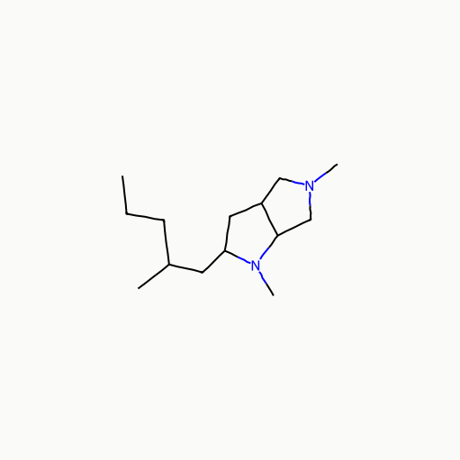 CCCC(C)CC1CC2CN(C)CC2N1C